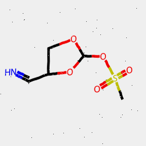 CS(=O)(=O)OC1OCC([C]=N)O1